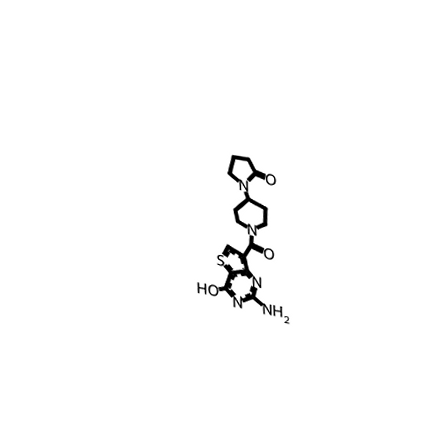 Nc1nc(O)c2scc(C(=O)N3CCC(N4CCCC4=O)CC3)c2n1